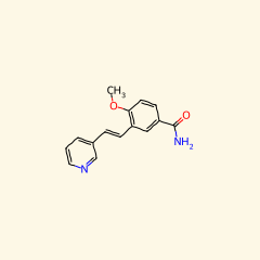 COc1ccc(C(N)=O)cc1/C=C/c1cccnc1